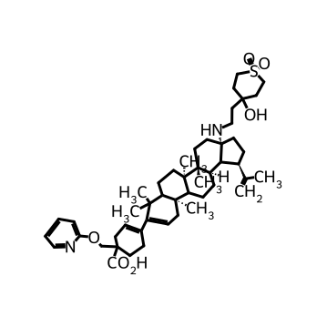 C=C(C)[C@@H]1CC[C@]2(NCCC3(O)CCS(=O)(=O)CC3)CC[C@]3(C)[C@H](CCC4[C@@]5(C)CC=C(C6=CCC(COc7ccccn7)(C(=O)O)CC6)C(C)(C)C5CC[C@]43C)C12